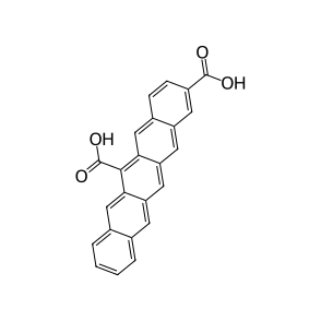 O=C(O)c1ccc2cc3c(C(=O)O)c4cc5ccccc5cc4cc3cc2c1